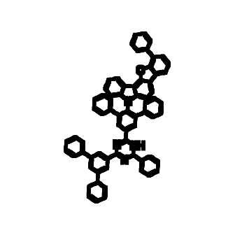 C1=CCC(c2cc(C3=NC(c4ccccc4)NC(c4cc(-c5ccccc5)c(-n5c6ccccc6c6c7oc8c(-c9ccccc9)cccc8c7ccc65)c(-c5ccccc5)c4)=N3)cc(-c3ccccc3)c2)C=C1